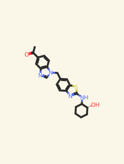 CC(=O)c1ccc2c(c1)ncn2Cc1ccc2nc(NC3CCCC[C@H]3O)sc2c1